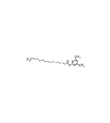 CCCCCCCCCCCCCCCC(=O)Sc1nc(C)cc(C)n1